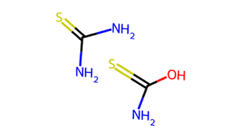 NC(N)=S.NC(O)=S